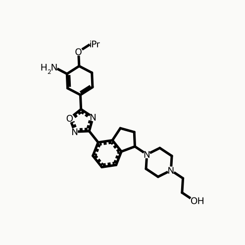 CC(C)OC1CC=C(c2nc(-c3cccc4c3CCC4N3CCN(CCO)CC3)no2)C=C1N